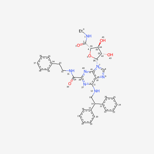 CCNC(=O)[C@H]1O[C@@H](n2cnc3c(NCC(c4ccccc4)c4ccccc4)nc(C(=O)NCCc4ccccc4)nc32)[C@@H](O)[C@@H]1O